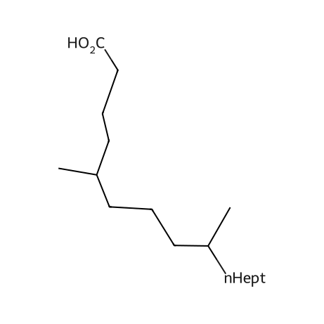 CCCCCCCC(C)CCCC(C)CCCC(=O)O